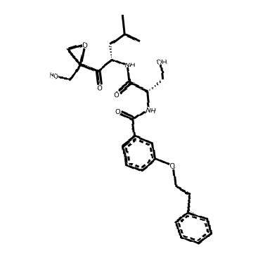 CC(C)C[C@H](NC(=O)[C@H](CO)NC(=O)c1cccc(OCCc2ccccc2)c1)C(=O)C1(CO)CO1